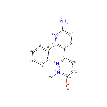 Cn1nc(-c2ccc(N)nc2-c2ccccc2)ccc1=O